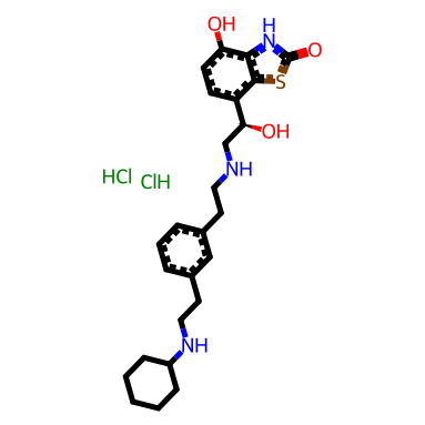 Cl.Cl.O=c1[nH]c2c(O)ccc([C@@H](O)CNCCc3cccc(CCNC4CCCCC4)c3)c2s1